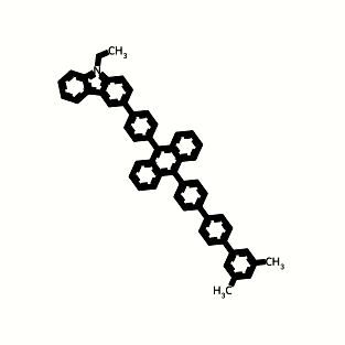 CCn1c2ccccc2c2cc(-c3ccc(-c4c5ccccc5c(-c5ccc(-c6ccc(-c7cc(C)cc(C)c7)cc6)cc5)c5ccccc45)cc3)ccc21